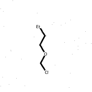 CC[CH]COCCl